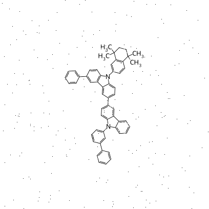 CC1(C)CCC(C)(C)c2cc(-n3c4ccc(-c5ccccc5)cc4c4cc(-c5ccc6c(c5)c5ccccc5n6-c5cccc(-c6ccccc6)c5)ccc43)ccc21